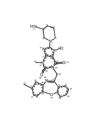 CCn1c(N2CCCC(N)C2)nc2c1c(=O)n(CC1=Nc3cc(C)ccc3Oc3ccccc31)c(=O)n2C